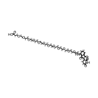 O=C(O)CCOCCOCCOCCOCCOCCOCCOCCOCCOCCOCCOCCOCCNc1cccc2c1C(=O)N(C1CCC(=O)NC1=O)C2=O